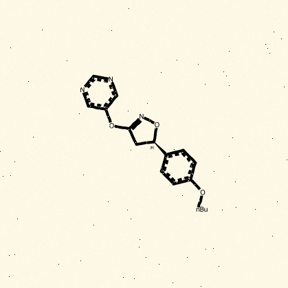 CCCCOc1ccc([C@H]2CC(Oc3cncnc3)=NO2)cc1